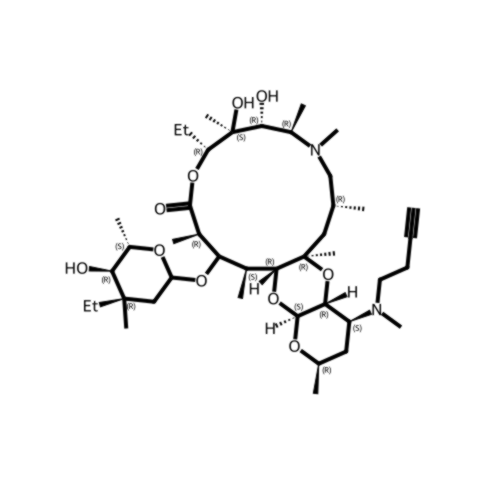 C#CCCN(C)[C@H]1C[C@@H](C)O[C@H]2O[C@@H]3[C@@H](C)C(OC4C[C@@](C)(CC)[C@@H](O)[C@H](C)O4)[C@@H](C)C(=O)O[C@H](CC)[C@@](C)(O)[C@H](O)[C@@H](C)N(C)C[C@H](C)C[C@@]3(C)O[C@@H]21